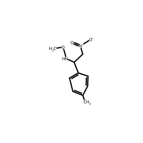 CONC(C[N+](=O)[O-])c1ccc(C)cc1